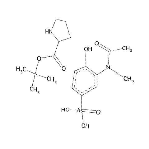 CC(=O)N(C)c1cc([As](=O)(O)O)ccc1O.CC(C)(C)OC(=O)C1CCCN1